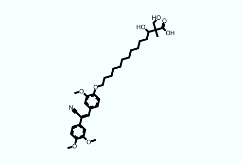 COc1ccc(C(C#N)=Cc2ccc(OCCCCCCCCCCCC(O)C(C)(CO)C(=O)O)c(OC)c2)cc1OC